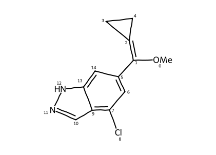 COC(=C1CC1)c1cc(Cl)c2cn[nH]c2c1